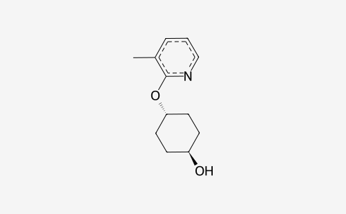 Cc1cccnc1O[C@H]1CC[C@H](O)CC1